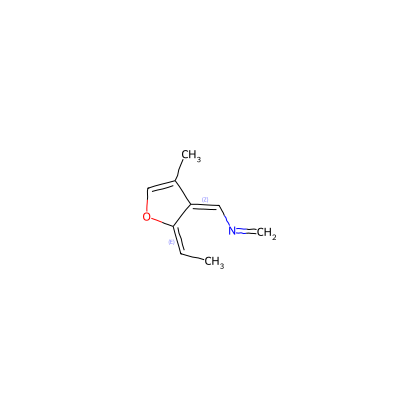 C=N/C=c1/c(C)co/c1=C/C